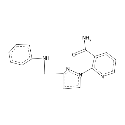 NC(=O)c1cccnc1-n1ccc(CNc2ccccc2)n1